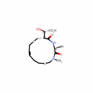 CC(C)[C@@H]1NC(=O)[C@@H]([C@H](O)C(=O)O)CCCC=CCCCCN(C)C1=O